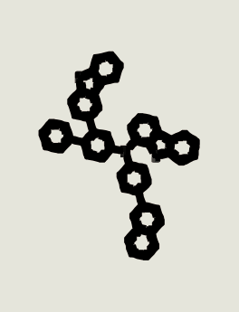 c1ccc(-c2ccc(N(c3ccc(-c4ccc5ccccc5c4)cc3)c3cccc4c3sc3ccccc34)cc2-c2ccc3sc4ccccc4c3c2)cc1